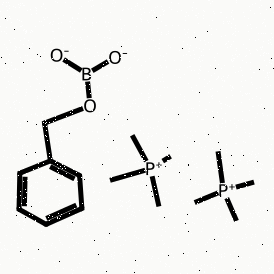 C[P+](C)(C)C.C[P+](C)(C)C.[O-]B([O-])OCc1ccccc1